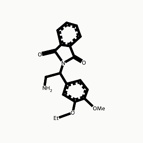 CCOc1cc(C(CN)N2C(=O)c3ccccc3C2=O)ccc1OC